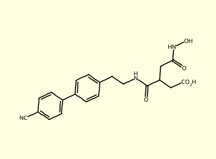 N#Cc1ccc(-c2ccc(CCNC(=O)C(CC(=O)O)CC(=O)NO)cc2)cc1